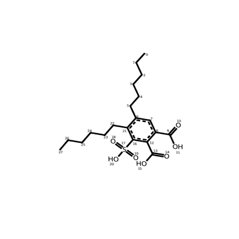 CCCCCCc1cc(C(=O)O)c(C(=O)O)c(S(=O)(=O)O)c1CCCCCC